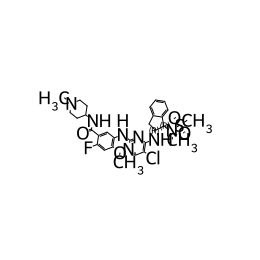 COc1cc(F)c(C(=O)NC2CCN(C)CC2)cc1Nc1ncc(Cl)c(N[C@@H]2Cc3ccccc3[C@H]2N(C)S(C)(=O)=O)n1